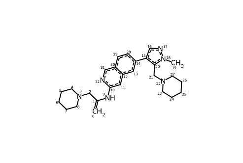 C=C(CN1CCCCC1)Nc1cc2cc(-c3cnn(C)c3CN3CCCCC3)ccc2cn1